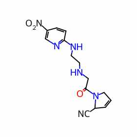 N#CC1C=CCN1C(=O)CNCCNc1ccc([N+](=O)[O-])cn1